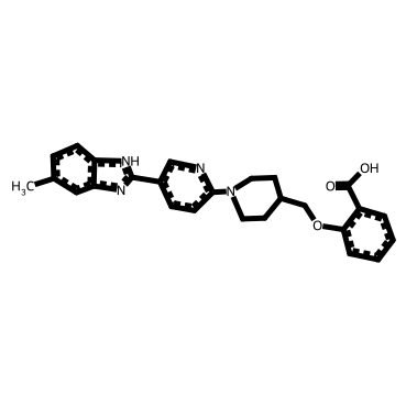 Cc1ccc2[nH]c(-c3ccc(N4CCC(COc5ccccc5C(=O)O)CC4)nc3)nc2c1